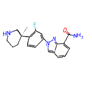 C[C@]1(c2ccc(-n3cc4cccc(C(N)=O)c4n3)cc2F)CCCNC1